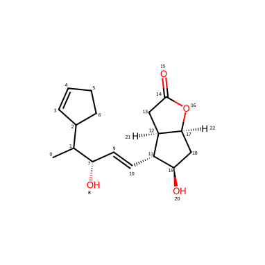 CC(C1C=CCC1)[C@@H](O)C=C[C@@H]1[C@H]2CC(=O)O[C@H]2C[C@H]1O